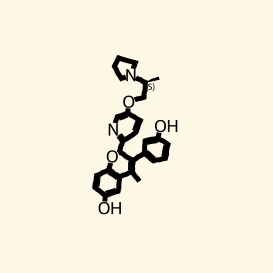 CC1=C(c2cccc(O)c2)C(c2ccc(OC[C@H](C)N3CCCC3)cn2)Oc2ccc(O)cc21